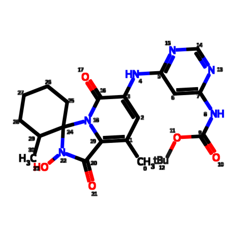 Cc1cc(Nc2cc(NC(=O)OC(C)(C)C)ncn2)c(=O)n2c1C(=O)N(O)C21CCCCC1C